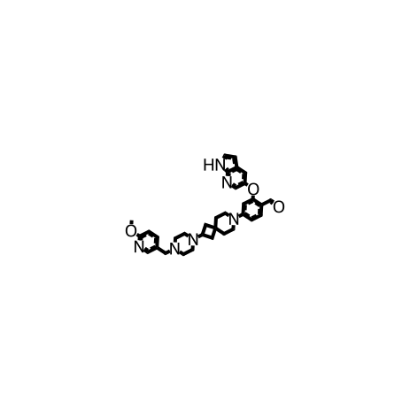 COc1ccc(CN2CCN(C3CC4(CCN(c5ccc(C=O)c(Oc6cnc7[nH]ccc7c6)c5)CC4)C3)CC2)cn1